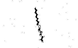 CCCCCCCCCOOOOCCC